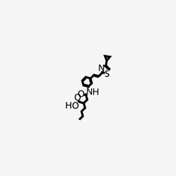 CCCCC(CC(=O)Nc1cccc(C=Cc2nc(C3CC3)cs2)c1)C(=O)O